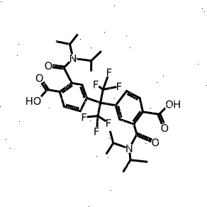 CC(C)N(C(=O)c1cc(C(c2ccc(C(=O)O)c(C(=O)N(C(C)C)C(C)C)c2)(C(F)(F)F)C(F)(F)F)ccc1C(=O)O)C(C)C